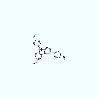 C=Cc1ccc(-c2ccc3c(c2)c2cc(C=C)ccc2n3-c2ccc(C=C)cc2)cc1